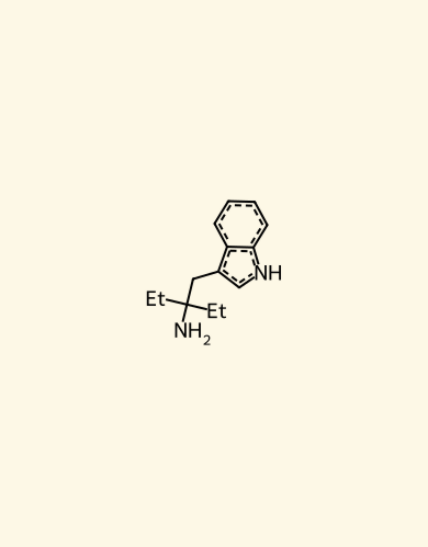 CCC(N)(CC)Cc1c[nH]c2ccccc12